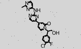 Cc1nccc(Nc2nccc(-c3ccn(C(CO)c4ccc(Cl)c(F)c4)c(=O)c3)n2)n1